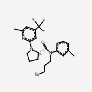 Cc1cccc(N(CCCBr)C(=O)[C@@H]2CCCN2c2cc(C(F)(F)F)cc(C)n2)c1